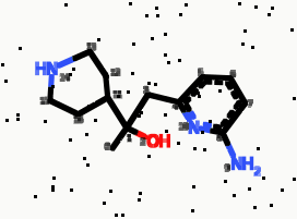 CC(O)(Cc1cccc(N)n1)C1CCNCC1